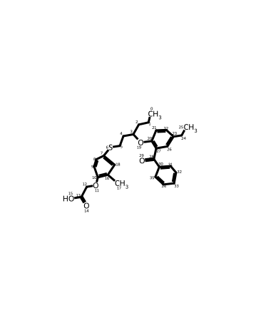 CCCC(CCSc1ccc(OCC(=O)O)c(C)c1)Oc1ccc(CC)cc1C(=O)c1ccccc1